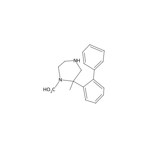 CC1(c2ccccc2-c2ccccc2)CNCCN1C(=O)O